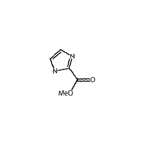 COC(=O)C1=NC=C[N]1